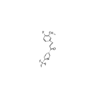 Cc1cc(C=CC(=O)c2ccc(C(F)(F)F)nc2)ccc1F